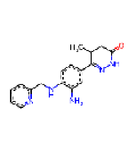 CC1CC(=O)NN=C1c1ccc(NCc2ccccn2)c(N)c1